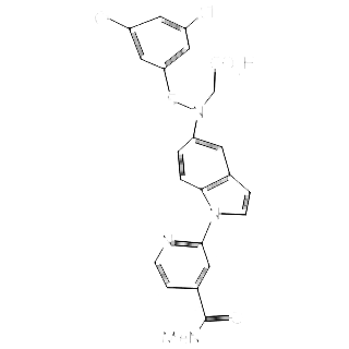 CNC(=O)c1ccnc(-n2ccc3cc(N(CC(=O)O)Sc4cc(Cl)cc(Cl)c4)ccc32)c1